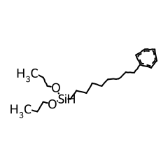 CCCO[SiH](CCCCCCCCCc1ccccc1)OCCC